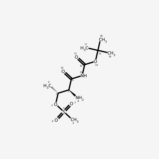 C[C@@H](OS(C)(=O)=O)[C@H](N)C(=O)NC(=O)OC(C)(C)C